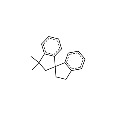 CC1(C)CC2(CCc3ccccc32)c2ccccc21